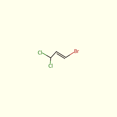 ClC(Cl)C=CBr